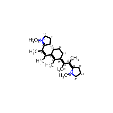 CC1=C(C(/C)=C(/C)C2=[N+](C)CCC2)CCC/C1=C(C)\C(C)=C1\CCCN1C